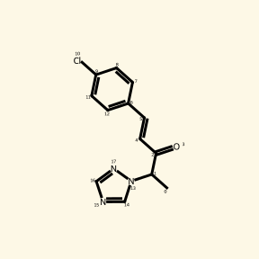 CC(C(=O)C=Cc1ccc(Cl)cc1)n1cncn1